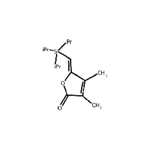 CC1=C(C)/C(=C/[Si](C(C)C)(C(C)C)C(C)C)OC1=O